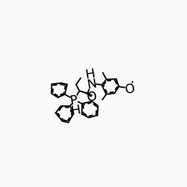 CCC(C(=O)Nc1c(C)cc(OC)cc1C)[PH](c1ccccc1)(c1ccccc1)c1ccccc1